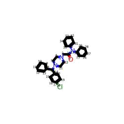 O=C(CN1CCN(C(c2ccccc2)c2ccc(Cl)cc2)CC1)N(c1ccccc1)c1ccccc1